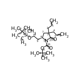 C=CCC1(CC=C)C[C@H](CCO[Si](C)(C)C(C)(C)C)N(C(=O)OC(C)(C)C)C1=O